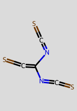 S=C=NC(=C=S)N=C=S